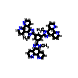 Cn1c(-c2cc(-c3nc4c5cccnc5c5ncccc5c4n3C)cc(-c3nc4c5cccnc5c5ncccc5c4n3C)c2)nc2c3cccnc3c3ncccc3c21